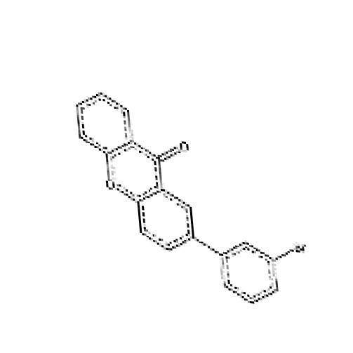 O=c1c2ccccc2oc2ccc(-c3cccc(Br)c3)cc12